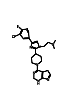 CN(C)CCn1cc(-c2ccc(F)c(Cl)c2)nc1C1CCN(C2=NCNC3=C2CC=N3)CC1